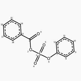 O=C(OS(=O)(=O)Oc1ccccc1)c1ccccc1